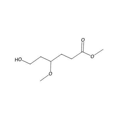 COC(=O)CCC(CCO)OC